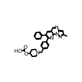 Cc1cc2ncc3cc(-c4ccccc4)c(-c4ccc(CN5CCC(OC(=O)O)CC5)cc4)nc3n2n1